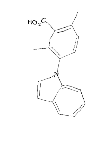 Cc1ccc(-n2ccc3ccccc32)c(C)c1C(=O)O